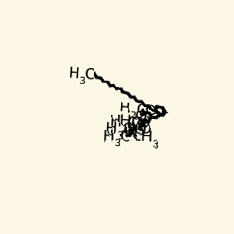 CCCCCCCCCCCCCCCCCCOc1ccccc1CC(COP(=O)(O)OC(C)[N+](C)(C)CC)CC(C)=O